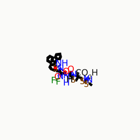 Cc1nnc(SCC2=C(C(=O)O)N3C(=O)C(NC(=O)C(=NOC(F)F)c4csc(NC(c5ccccc5)(c5ccccc5)c5ccccc5)n4)[C@@H]3SC2)s1